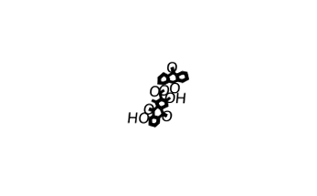 Cc1c(C(=O)Oc2cccc3c2C(=O)c2ccccc2C3=O)c(O)cc2c1C(=O)c1c(O)cccc1C2=O